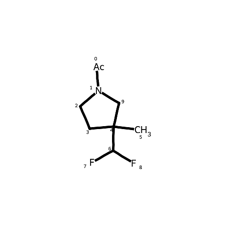 CC(=O)N1CCC(C)(C(F)F)C1